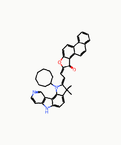 CC1(C)/C(=C/C=C2/Oc3ccc4c(ccc5ccccc54)c3C2=O)N(C2CCCCCCC2)c2c1ccc1[nH]c3ccncc3c21